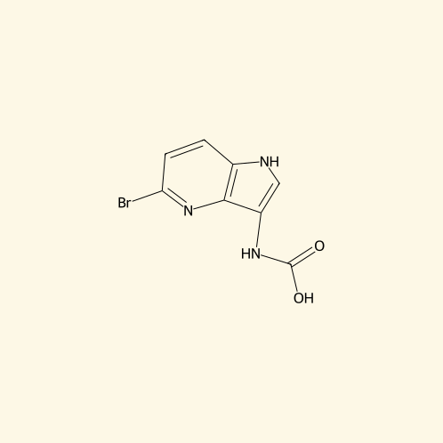 O=C(O)Nc1c[nH]c2ccc(Br)nc12